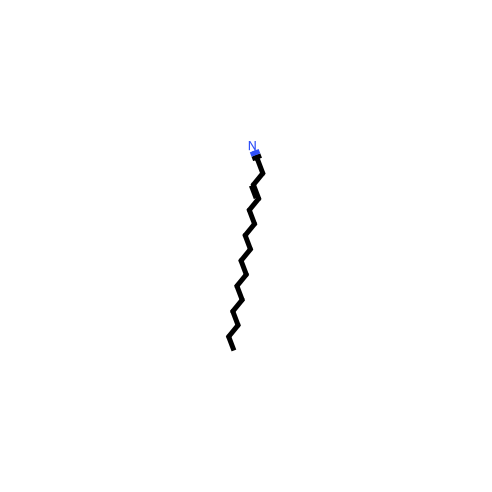 CCCCCCCCCCCCC=CCC#N